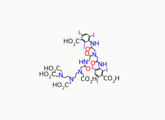 O=C(O)CN(CCN(CC(=O)O)CC(=O)O)CCN(CC(=O)O)CC(=O)NCC(=O)N(CC(=O)Nc1c(I)cc(I)c(C(=O)O)c1I)CC(=O)Nc1c(I)cc(I)c(C(=O)O)c1I